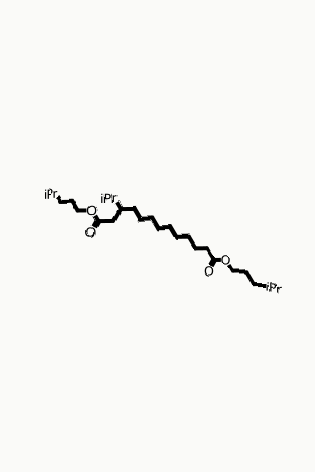 CC(C)CCCOC(=O)CCCCCCCCCC(CC(=O)OCCCC(C)C)C(C)C